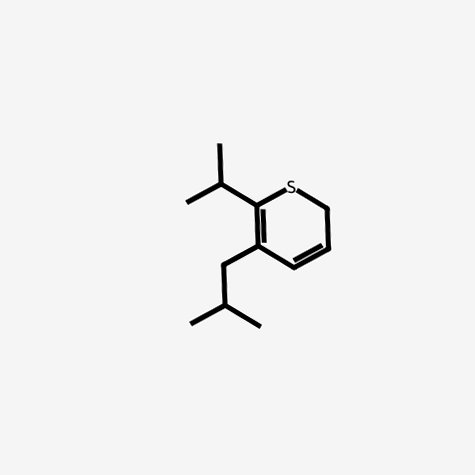 CC(C)CC1=C(C(C)C)SCC=C1